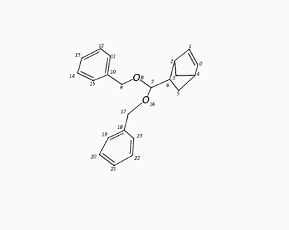 C1=CC2CC1CC2C(OCc1ccccc1)OCc1ccccc1